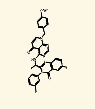 COc1ccc(Cn2ccc(=O)c3c(NC(C)c4nc5ccc(F)cc5c(=O)n4-c4cccc(F)c4)ncnc32)cc1